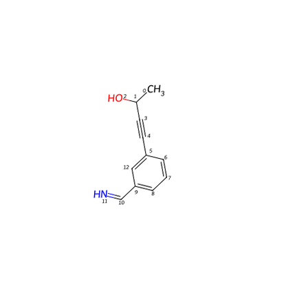 CC(O)C#Cc1cccc(C=N)c1